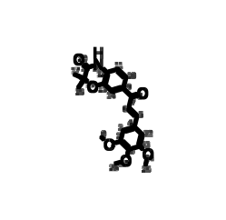 COc1cc(C=CC(=O)c2ccc3c(c2)OC(C)(C)C(=O)N3)cc(OC)c1OC